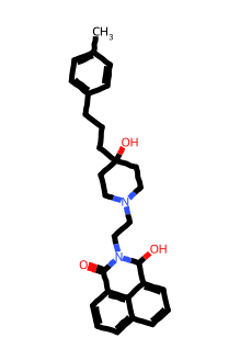 Cc1ccc(CCCC2(O)CCN(CCN3C(=O)c4cccc5cccc(c45)C3O)CC2)cc1